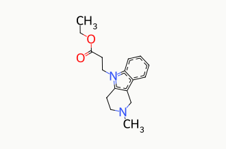 CCOC(=O)CCn1c2c(c3ccccc31)CN(C)CC2